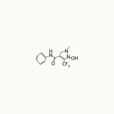 CN1CC(C(=O)Nc2ccccc2)=C(C(F)(F)F)N1O